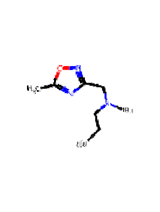 Cc1nc(CN(CCC(C)(C)C)C(C)(C)C)no1